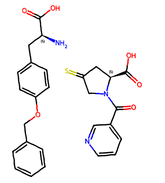 N[C@@H](Cc1ccc(OCc2ccccc2)cc1)C(=O)O.O=C(O)[C@@H]1CC(=S)CN1C(=O)c1cccnc1